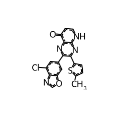 Cc1ccc(-c2nc3[nH]ccc(=O)c3nc2-c2cc(Cl)c3ncoc3c2)s1